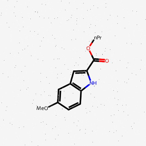 CCCOC(=O)c1cc2cc(OC)ccc2[nH]1